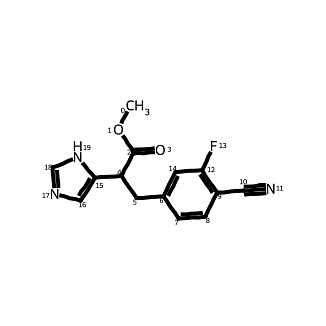 COC(=O)C(Cc1ccc(C#N)c(F)c1)c1cnc[nH]1